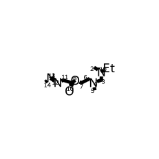 CCN(C)CN(C)CCOC(=O)CN=NC